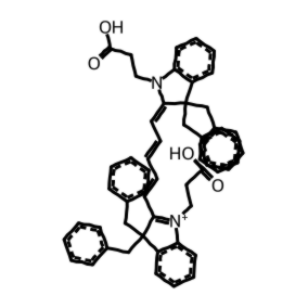 O=C(O)CCN1/C(=C/C=C/C=C/C2=[N+](CCC(=O)O)c3ccccc3C2(Cc2ccccc2)Cc2ccccc2)C(Cc2ccccc2)(Cc2ccccc2)c2ccccc21